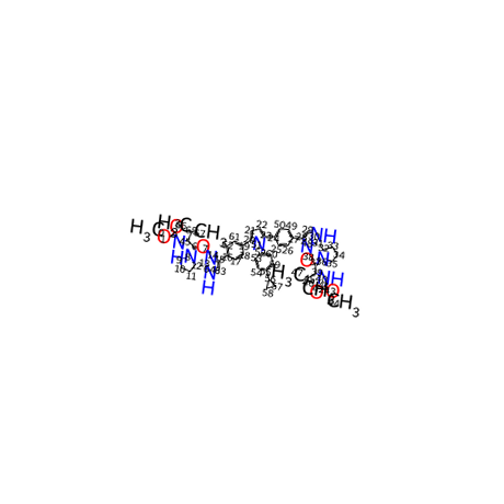 COC(=O)NC(C(=O)N1CCC[C@H]1c1nc(-c2ccc(-c3ccc(-c4ccc(-c5c[nH]c([C@@H]6CCCN6C(=O)[C@@H](NC(=O)OC)C(C)C)n5)cc4)n3-c3ccc(C4CC4)cc3)cc2)c[nH]1)C(C)C